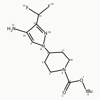 CC(C)(C)OC(=O)N1CCC(n2cc(N)c(C(F)F)n2)CC1